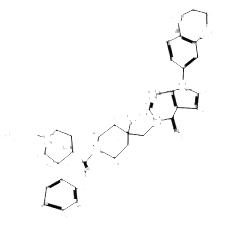 O=C(O)N1CC[C@@H](C(=O)N2CCC(O)(Cn3cnc4c(ccn4-c4ccc5c(c4)OCCO5)c3=O)CC2)[C@H](c2ccccc2)C1